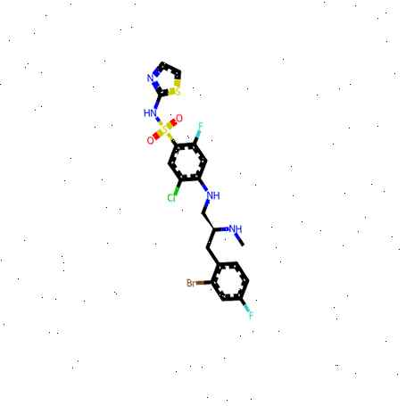 CN[C@H](CNc1cc(F)c(S(=O)(=O)Nc2nccs2)cc1Cl)Cc1ccc(F)cc1Br